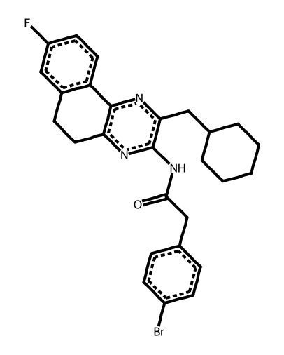 O=C(Cc1ccc(Br)cc1)Nc1nc2c(nc1CC1CCCCC1)-c1ccc(F)cc1CC2